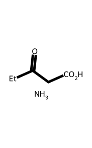 CCC(=O)CC(=O)O.N